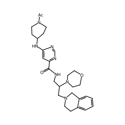 CC(=O)N1CCC(Nc2cc(C(=O)NCC(CN3CCc4ccccc4C3)N3CCOCC3)ncn2)CC1